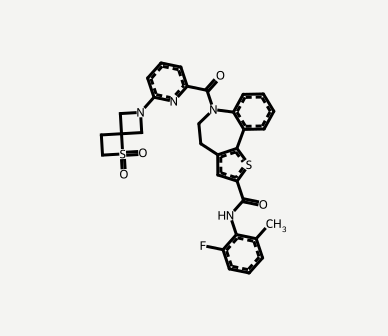 Cc1cccc(F)c1NC(=O)c1cc2c(s1)-c1ccccc1N(C(=O)c1cccc(N3CC4(CCS4(=O)=O)C3)n1)CC2